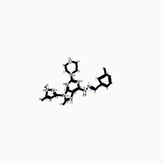 Cc1cccc(/C=N/Nc2nc(N3CCOCC3)nc3c2nc(C)n3-c2cc(C)n(C)n2)c1